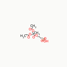 C=CC(=O)OCC(C)(COC(=O)C=C)C(=O)OCCCCS(=O)(=O)O